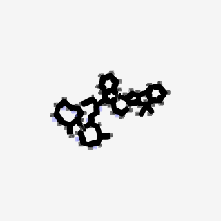 C=C/C(=C\C=C1/CC(=C)/C=C\C=C/N1/C1=C/C=C/C=C\C=C/C1=C)c1c(/C=C\C)n(C2=CC3C(=C2)C(C)(C)c2ccccc23)c2ccccc12